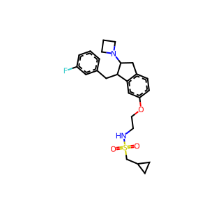 O=S(=O)(CC1CC1)NCCOc1ccc2c(c1)C(Cc1cccc(F)c1)C(N1CCC1)C2